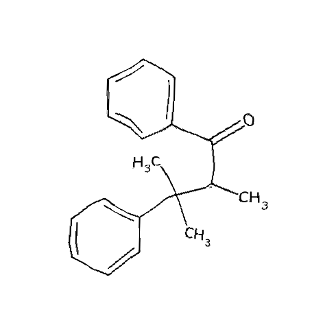 C[C](C(=O)c1ccccc1)C(C)(C)c1ccccc1